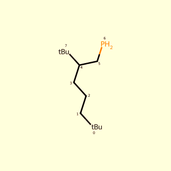 CC(C)(C)CCCC(CP)C(C)(C)C